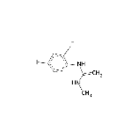 C=C(NC)Nc1ccc(I)cc1F